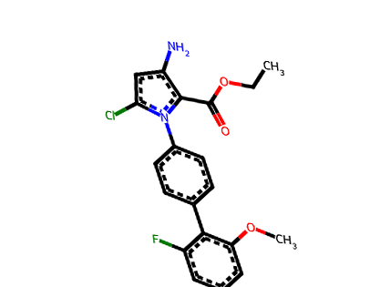 CCOC(=O)c1c(N)cc(Cl)n1-c1ccc(-c2c(F)cccc2OC)cc1